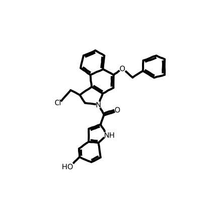 O=C(c1cc2cc(O)ccc2[nH]1)N1CC(CCl)c2c1cc(OCc1ccccc1)c1ccccc21